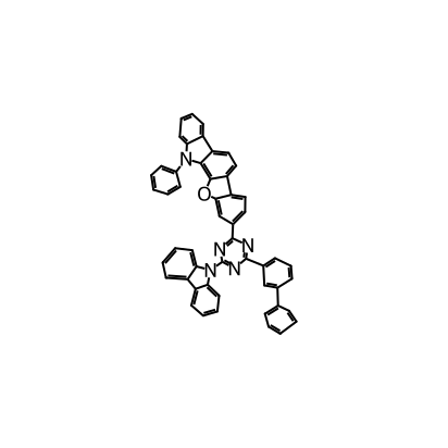 c1ccc(-c2cccc(-c3nc(-c4ccc5c(c4)oc4c5ccc5c6ccccc6n(-c6ccccc6)c54)nc(-n4c5ccccc5c5ccccc54)n3)c2)cc1